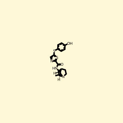 C[C@H]1[C@H](NC(=O)c2ncc(Sc3ccc(O)cc3)s2)C2CCN1CC2